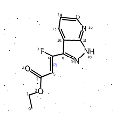 CCOC(=O)/C=C(\F)c1n[nH]c2ncccc12